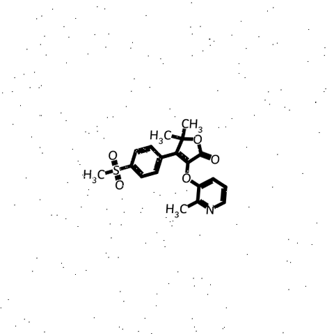 Cc1ncccc1OC1=C(c2ccc(S(C)(=O)=O)cc2)C(C)(C)OC1=O